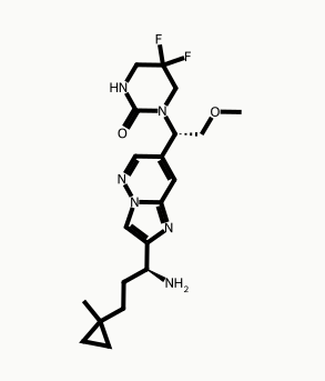 COC[C@H](c1cnn2cc([C@@H](N)CCC3(C)CC3)nc2c1)N1CC(F)(F)CNC1=O